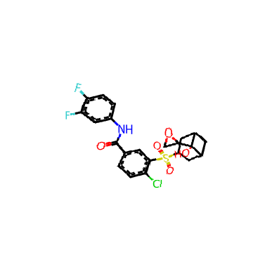 O=C(Nc1ccc(F)c(F)c1)c1ccc(Cl)c(S(=O)(=O)C2CC3CC(C2)C3(O)C2CO2)c1